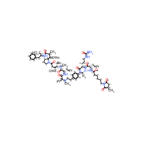 CC[C@H](C)[C@@H]([C@@H](CC(=O)N1CCC[C@H]1[C@H](OC)[C@@H](C)C(=O)N[C@@H](Cc1ccccc1)C(=O)O)OC)N(C)C(=O)[C@H](CC(C)C)NC(=O)[C@H](C(C)C)N(C)CCc1ccc(N(C)C(=O)[C@H](CCCNC(N)=O)NC(=O)[C@H](CC(C)C)NC(=O)CCCCCN2C(=O)CC(C)C2=O)cc1